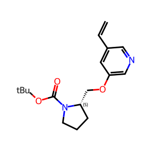 C=Cc1cncc(OC[C@@H]2CCCN2C(=O)OC(C)(C)C)c1